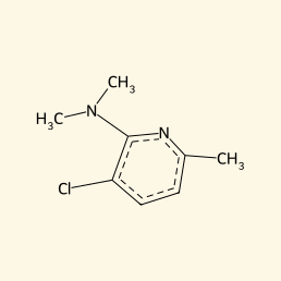 Cc1ccc(Cl)c(N(C)C)n1